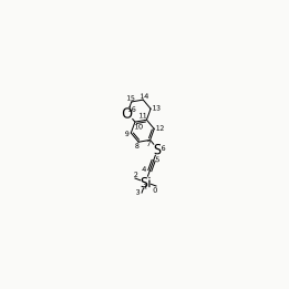 C[Si](C)(C)C#CSc1ccc2c(c1)CCCO2